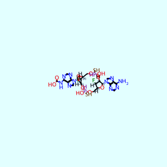 Nc1ncnc2c1ncn2[C@@H]1O[C@@H]2CO[PH](O)(S)O[C@@H]3[C@H](F)[C@@H](CO[PH](O)(S)O[C@@H]1[C@@H]2F)O[C@H]3n1cnc2c(NC(=O)O)ncnc21